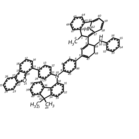 CC1C(C2=CC(c3ccc(N(c4ccc(-c5cccc6c5oc5ccccc56)cc4)c4cccc5c4-c4ccccc4C5(C)C)cc3)=CCC2Nc2ccccc2)=C2C=CC=C(N2)c2ccccc21